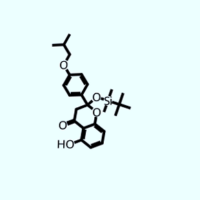 CC(C)COc1ccc(C2(O[Si](C)(C)C(C)(C)C)CC(=O)c3c(O)cccc3O2)cc1